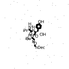 CCCCCCCCCCCON=C[C@@H](NC(=O)[C@H](Cc1ccc(O)cc1)NC(=O)[C@@H](N)C(C)C)[C@@H](C)CC.Cl